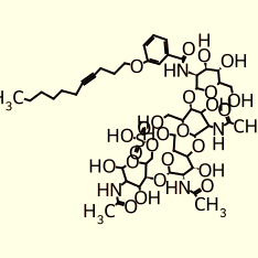 CCCCCCC#CCCCOc1cccc(C(=O)N[C@@H]2C(O[C@@H]3C(CO)O[C@@H](OC4C(CO)O[C@@H](O[C@@H]5C(COS(=O)(=O)O)OC(O)C(NC(C)=O)C5O)[C@@H](NC(C)=O)[C@H]4O)C(NC(C)=O)C3O)OC(CO)[C@@H](O)[C@@H]2O)c1